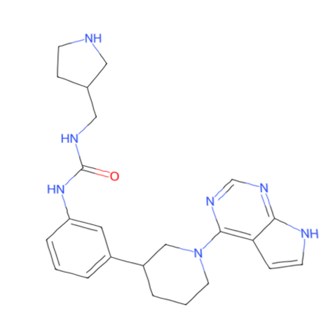 O=C(NCC1CCNC1)Nc1cccc(C2CCCN(c3ncnc4[nH]ccc34)C2)c1